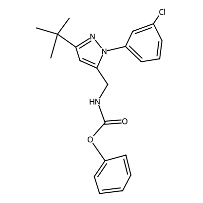 CC(C)(C)c1cc(CNC(=O)Oc2ccccc2)n(-c2cccc(Cl)c2)n1